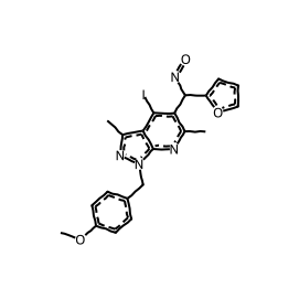 COc1ccc(Cn2nc(C)c3c(I)c(C(N=O)c4ccco4)c(C)nc32)cc1